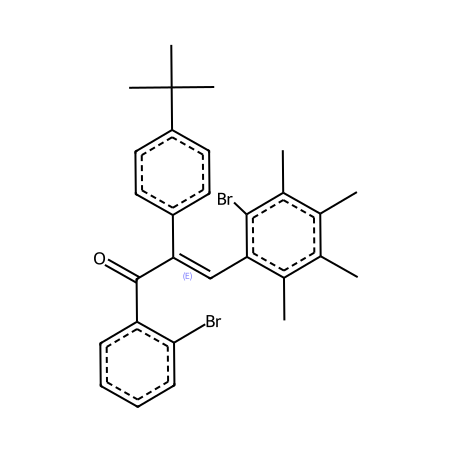 Cc1c(C)c(C)c(/C=C(/C(=O)c2ccccc2Br)c2ccc(C(C)(C)C)cc2)c(Br)c1C